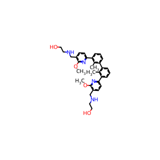 COc1nc(-c2cccc(-c3cccc(-c4ccc(CNCCO)c(OC)n4)c3C)c2C)ccc1CNCCO